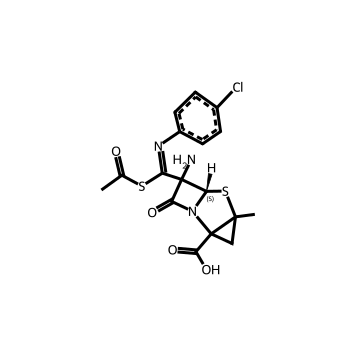 CC(=O)SC(=Nc1ccc(Cl)cc1)C1(N)C(=O)N2[C@H]1SC1(C)CC21C(=O)O